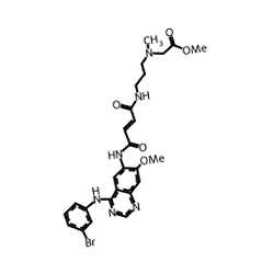 COC(=O)CN(C)CCCNC(=O)C=CC(=O)Nc1cc2c(Nc3cccc(Br)c3)ncnc2cc1OC